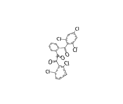 O=C(c1ccccc1[P](=O)C(=O)c1c(Cl)cccc1Cl)c1c(Cl)cc(Cl)cc1Cl